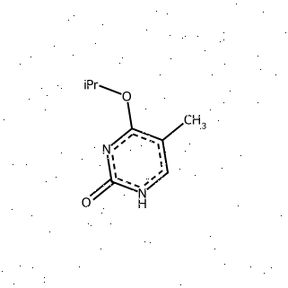 Cc1c[nH]c(=O)nc1OC(C)C